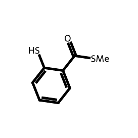 CSC(=O)c1ccccc1S